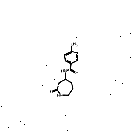 Cc1ccc(C(=O)N[C@H]2CCCNC(=O)C2)cc1